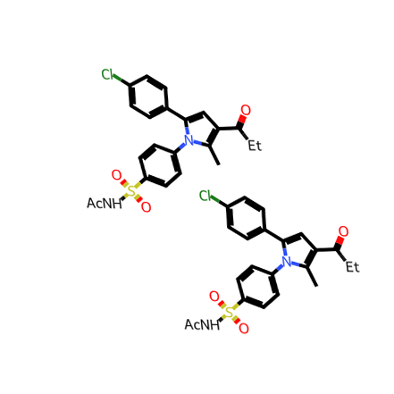 CCC(=O)c1cc(-c2ccc(Cl)cc2)n(-c2ccc(S(=O)(=O)NC(C)=O)cc2)c1C.CCC(=O)c1cc(-c2ccc(Cl)cc2)n(-c2ccc(S(=O)(=O)NC(C)=O)cc2)c1C